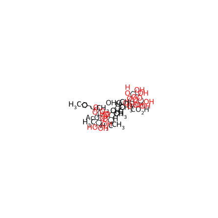 CC(=O)OC1C(OC(=O)/C=C/c2ccc(C)cc2)C(C)OC(OC(=O)[C@]23CCC(C)(C)C[C@H]2C2C=C[C@@H]4[C@@]5(C)CC[C@H](OC6OC(C(=O)O)C(O)C(OC7OCC(O)C(O)C7O)C6OC6OC(CO)C(O)CC6O)[C@@](C)(C=O)[C@@H]5CC[C@@]4(C)[C@]2(C)C[C@H]3O)C1OC1CC(C)C(O)C(O)C1O